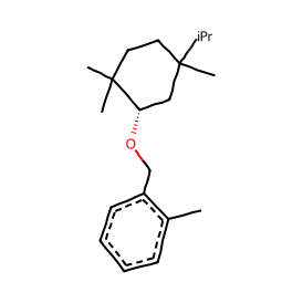 Cc1ccccc1CO[C@H]1CC(C)(C(C)C)CCC1(C)C